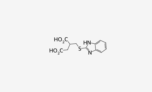 O=C(O)CC(CSc1nc2ccccc2[nH]1)C(=O)O